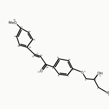 CNCC(O)COc1ccc(C(=O)/C=C/c2ccc(OC)cc2)cc1